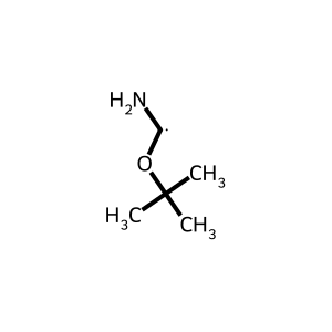 CC(C)(C)O[CH]N